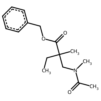 CCC(C)(CN(C)C(C)=O)C(=O)OCc1ccccc1